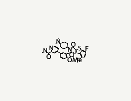 COc1ccc(-c2ccnc(C(=O)N(C)C)c2)cc1CN(C(=O)c1sc2c(F)ccc(F)c2c1Cl)[C@H]1CC[C@H](N(C)C)CC1